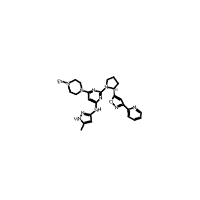 CCN1CCN(c2cc(Nc3cc(C)[nH]n3)nc(N3CCC[C@H]3c3cc(-c4ccccn4)no3)n2)CC1